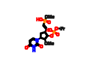 CO[C@@H]1[C@H](OP(=O)(O)OC(C)C)[C@@H](/C=C/P(=O)(O)OC)C[C@H]1n1ccc(=O)[nH]c1=O